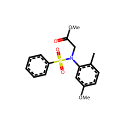 COC(=O)CN(c1cc(OC)ccc1C)S(=O)(=O)c1ccccc1